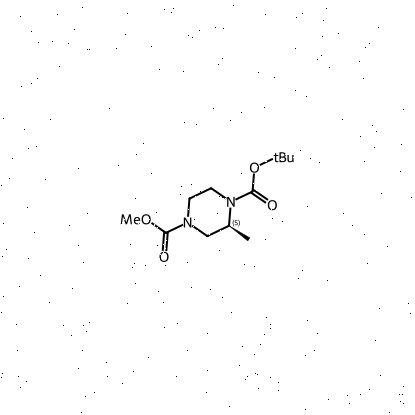 COC(=O)N1CCN(C(=O)OC(C)(C)C)[C@@H](C)C1